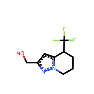 OCc1cc2n(n1)CCCC2C(F)(F)F